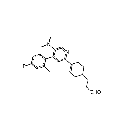 Cc1cc(F)ccc1-c1cc(C2=CCC(CCC=O)CC2)ncc1N(C)C